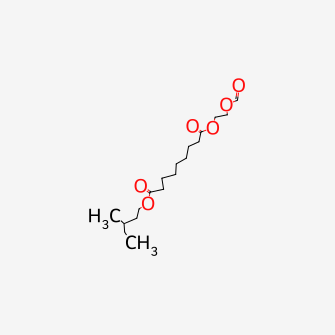 CCC(C)CCOC(=O)CCCCCCCC(=O)OCCOC=O